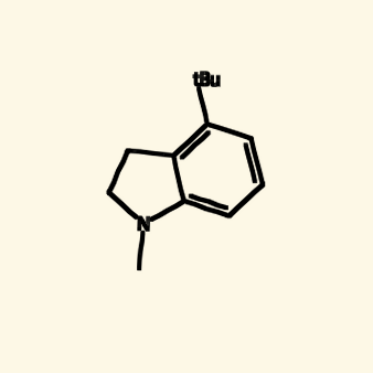 CN1CCc2c1cccc2C(C)(C)C